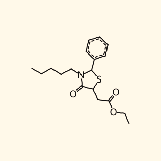 CCCCCN1C(=O)C(CC(=O)OCC)SC1c1ccccc1